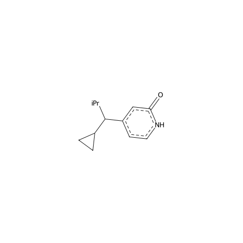 CC(C)C(c1cc[nH]c(=O)c1)C1CC1